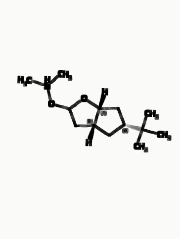 C[SiH](C)OC1C[C@H]2C[C@@H](C(C)(C)C)C[C@H]2O1